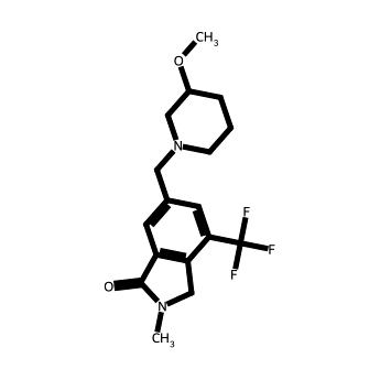 COC1CCCN(Cc2cc3c(c(C(F)(F)F)c2)CN(C)C3=O)C1